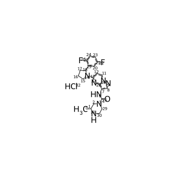 CC1CN(C(=O)Nc2cnn3ccc(N4CCCC4c4cc(F)ccc4F)nc23)CCN1.Cl